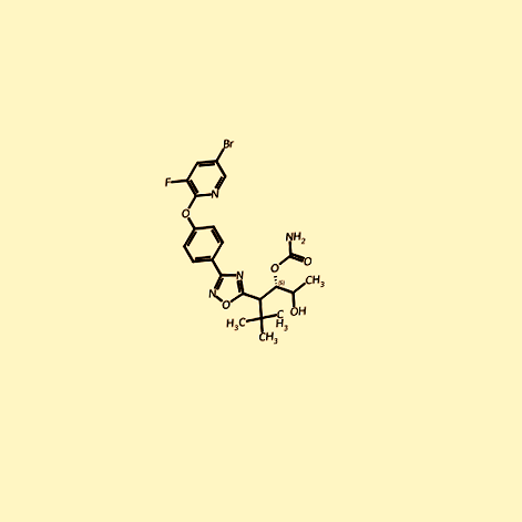 CC(O)[C@@H](OC(N)=O)C(c1nc(-c2ccc(Oc3ncc(Br)cc3F)cc2)no1)C(C)(C)C